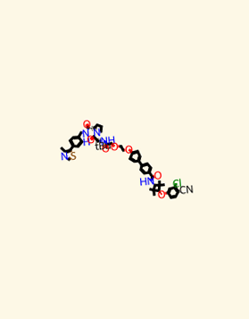 Cc1ncsc1-c1ccc(CNC(=O)[C@@H]2CCCN2C(=O)[C@@H](NC(=O)COCCOc2ccc(-c3ccc(C(=O)N[C@H]4C(C)(C)[C@H](Oc5ccc(C#N)c(Cl)c5)C4(C)C)cc3)cc2)C(C)(C)C)cc1